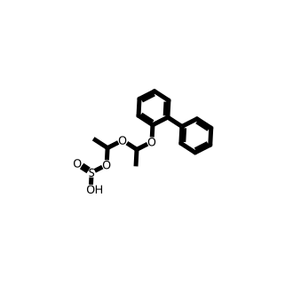 CC(Oc1ccccc1-c1ccccc1)OC(C)OS(=O)O